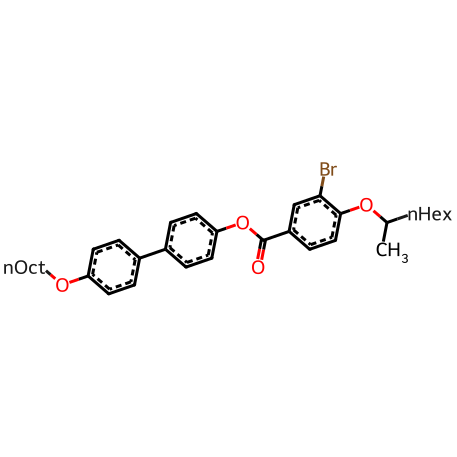 CCCCCCCCOc1ccc(-c2ccc(OC(=O)c3ccc(OC(C)CCCCCC)c(Br)c3)cc2)cc1